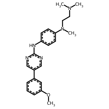 COc1cccc(-c2cnc(Nc3ccc(N(C)CCN(C)C)cc3)nc2)c1